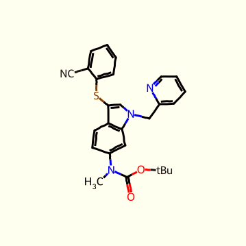 CN(C(=O)OC(C)(C)C)c1ccc2c(Sc3ccccc3C#N)cn(Cc3ccccn3)c2c1